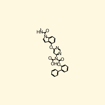 CNC(=O)n1ccc2c(Oc3cc(N(C(=O)O)C(=O)Oc4ccccc4-c4ccccc4)ncn3)cccc21